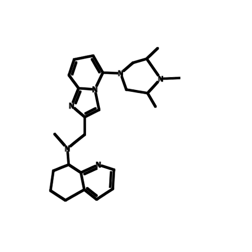 CC1CN(c2cccc3nc(CN(C)C4CCCc5cccnc54)cn23)CC(C)N1C